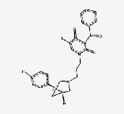 O=C(c1ccccc1)n1c(=O)c(I)cn(CCCN2C[C@@H]3C[C@]3(c3ccc(Cl)cc3)C2)c1=O